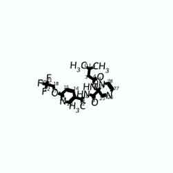 CC(C)CC(=O)NC1(C(=O)NC(C)c2ccc(OCC(F)(F)F)nc2)C=NC=CN1